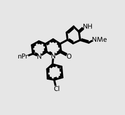 CCCc1ccc2cc(C3=C/C(=C/NC)C(=N)C=C3)c(=O)n(-c3ccc(Cl)cc3)c2n1